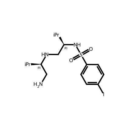 CC(C)[C@H](CN)NC[C@H](NS(=O)(=O)c1ccc(I)cc1)C(C)C